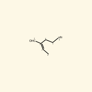 CC=C(C=O)CCCCC